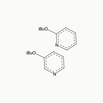 CC(C)COc1ccccn1.CC(C)COc1cccnc1